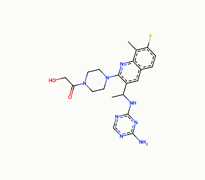 Cc1c(F)ccc2cc(C(C)Nc3ncnc(N)n3)c(N3CCN(C(=O)CO)CC3)nc12